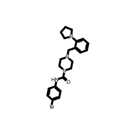 O=C(Nc1ccc(Br)cc1)N1CCN(Cc2ccccc2N2CCCC2)CC1